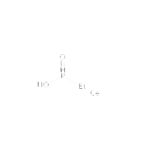 CC[PH](=O)O.[Ce]